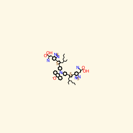 CCCCC(CC)Cc1cc(-c2ccc(/C=C(\C#N)C(=O)O)c3nsnc23)sc1-c1ccc(N(c2ccc(-c3sc(-c4ccc(/C=C(\C#N)C(=O)O)c5nsnc45)cc3CC(CC)CCCC)cc2)c2c3ccccc3c(OC)c3ccccc23)cc1